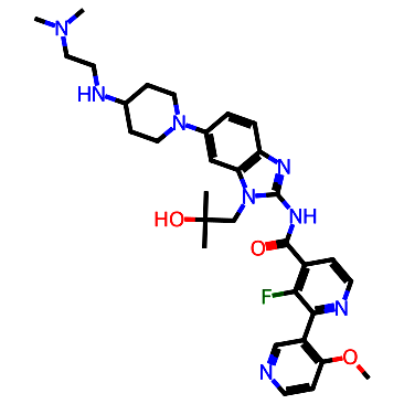 COc1ccncc1-c1nccc(C(=O)Nc2nc3ccc(N4CCC(NCCN(C)C)CC4)cc3n2CC(C)(C)O)c1F